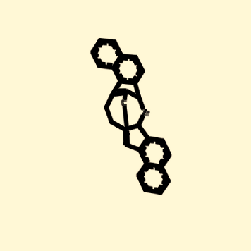 c1ccc2c3c(ccc2c1)[CH]1[Zr][CH]2C4=C(CCC1=C3CC4)c1c2ccc2ccccc12